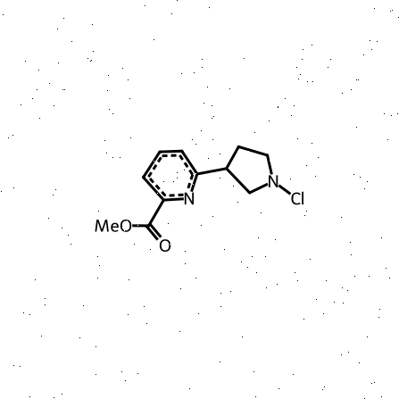 COC(=O)c1cccc(C2CCN(Cl)C2)n1